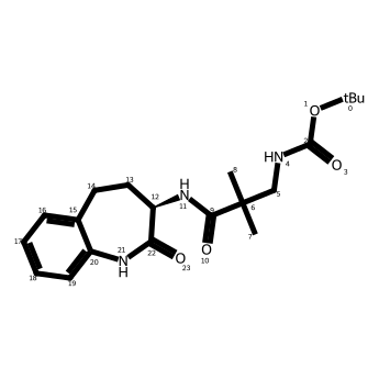 CC(C)(C)OC(=O)NCC(C)(C)C(=O)N[C@@H]1CCc2ccccc2NC1=O